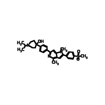 Cc1nc(-c2ccc(C3(O)CCN(C(C)C)CC3)cc2)cc2c1cc(-c1ccc(S(C)(=O)=O)cc1)n2C